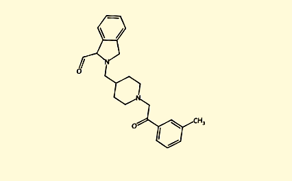 Cc1cccc(C(=O)CN2CCC(CN3Cc4ccccc4C3C=O)CC2)c1